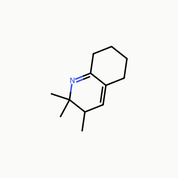 CC1C=C2CCCCC2=NC1(C)C